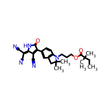 CCC(C)(C)C(=O)OCCCN1c2ccc(C3=C(C#N)C(=C(C#N)C#N)NC3=O)cc2CC1(C)C